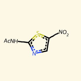 CC(=O)Nc1ncc([N+](=O)[O-])s1